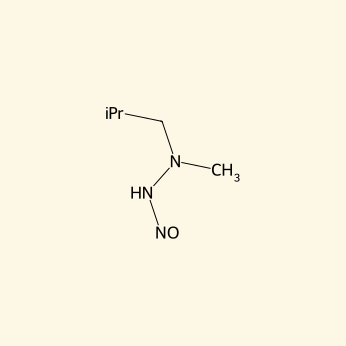 CC(C)CN(C)NN=O